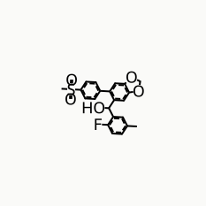 Cc1ccc(F)c(C(O)c2cc3c(cc2-c2ccc(S(C)(=O)=O)cc2)OCO3)c1